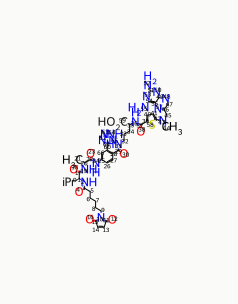 CC(C)[C@H](NC(=O)CCCCCN1C(=O)C=CC1=O)C(=O)N[C@@H](C)C(=O)Nc1ccc(C(=O)NCCC[C@H](NC(=O)c2ccc(N(C)Cc3cnc4nc(N)nc(N)c4n3)s2)C(=O)O)c(-c2nn[nH]n2)c1